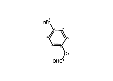 CCCc1ccc(O[C]=O)cc1